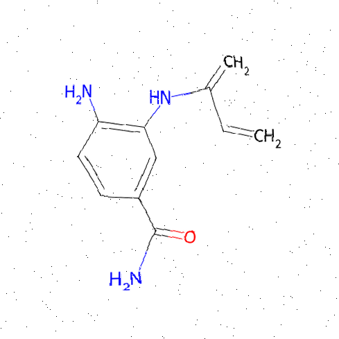 C=CC(=C)Nc1cc(C(N)=O)ccc1N